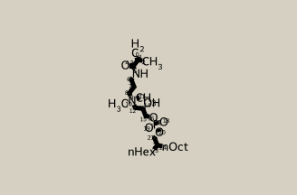 C=C(C)C(=O)NCCC[N+](C)(C)CC(O)COP(=O)([O-])OCC(CCCCCC)CCCCCCCC